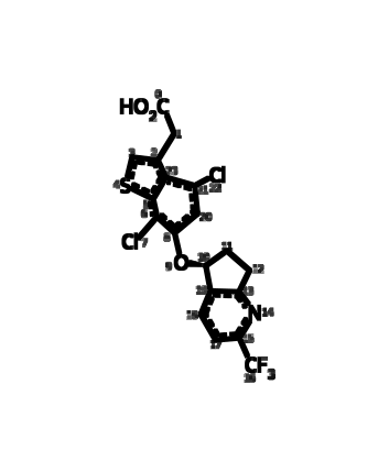 O=C(O)Cc1csc2c(Cl)c(O[C@H]3CCc4nc(C(F)(F)F)ccc43)cc(Cl)c12